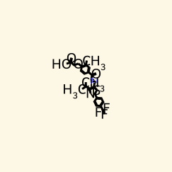 Cc1cc(C(=O)/C=C/c2sc(-c3ccc(C(F)(F)F)cc3)nc2C(C)C)ccc1OCC(=O)O